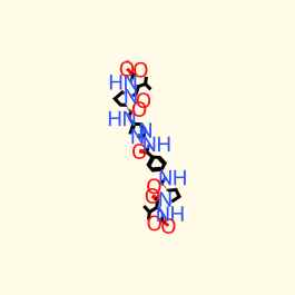 COC(=O)N[C@H](C(=O)N1CCC[C@H]1C(=O)Nc1ccc(C(=O)Nc2ncc(NC(=O)[C@@H]3CCCN3C(=O)[C@@H](NC(=O)OC)C(C)C)cn2)cc1)C(C)C